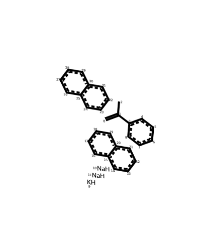 C=C(C)c1ccccc1.[KH].[NaH].[NaH].c1ccc2ccccc2c1.c1ccc2ccccc2c1